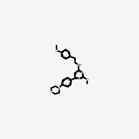 COc1ccc(CCNc2cc(-c3ccc(N4CCOCC4)cc3)nc(OC)n2)cc1